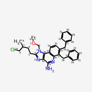 CCOCn1c(CCC(C)CCl)nc2c(N)nc3c(Cc4ccccc4)c(Cc4ccccc4)ccc3c21